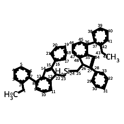 CCc1ccccc1-c1cccc2c1C=C(c1ccccc1)C2C[SiH2]CC1C(c2ccccc2)=Cc2c(-c3ccccc3CC)cccc21